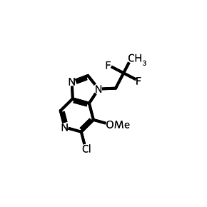 COc1c(Cl)ncc2ncn(CC(C)(F)F)c12